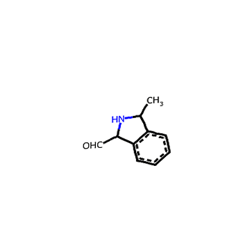 CC1NC(C=O)c2ccccc21